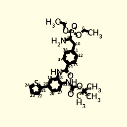 CCOP(=O)(OCC)C(N)Cc1ccc(C(=O)Nc2cc(-c3cccs3)ccc2NC(=O)OC(C)(C)C)cc1